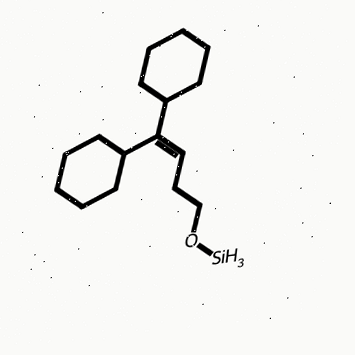 [SiH3]OCCC=C(C1CCCCC1)C1CCCCC1